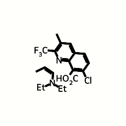 C/C=C\N(CC)CC.Cc1cc2ccc(Cl)c(C(=O)O)c2nc1C(F)(F)F